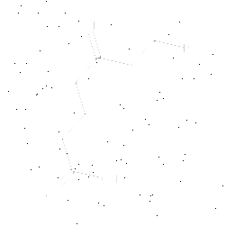 C=C(C)CCCC(=C)CCBr